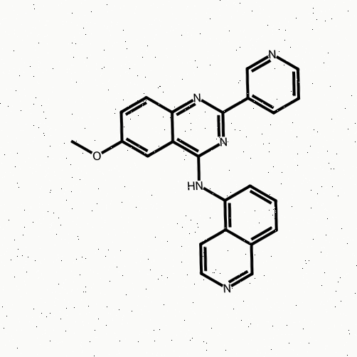 COc1ccc2nc(-c3cccnc3)nc(Nc3cccc4cnccc34)c2c1